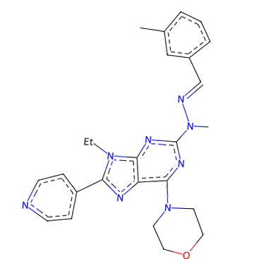 CCn1c(-c2ccncc2)nc2c(N3CCOCC3)nc(N(C)N=Cc3cccc(C)c3)nc21